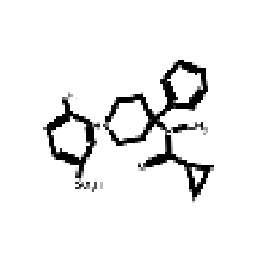 CN(C(=O)C1CC1)C1(c2ccccc2)CCNCC1.Cc1ccc(S(=O)(=O)O)cc1